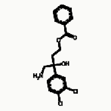 NCC(O)(CCOC(=O)c1ccccc1)c1ccc(Cl)c(Cl)c1